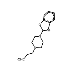 O=[C]CCN1CCN(C2Nc3ccccc3O2)CC1